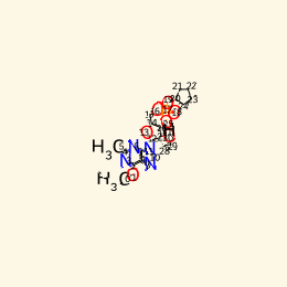 COc1nc(C)nc2c1ncn2C1OC2COP(=O)(OC3CCCC3)O[C@H]2[C@]12CCO2